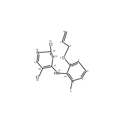 C=CCOc1cccc(F)c1Nc1nc(Cl)ncc1Cl